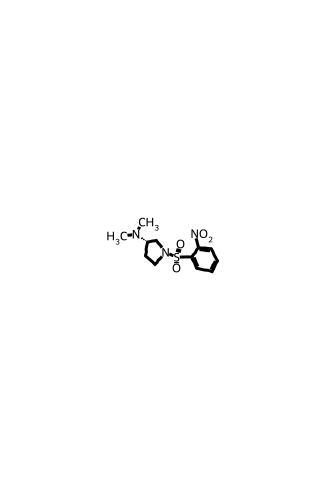 CN(C)[C@H]1CCN(S(=O)(=O)c2ccccc2[N+](=O)[O-])C1